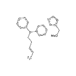 COCn1ccnc1.FC(F)(F)C=CCCB(c1ccccc1)c1ccccc1